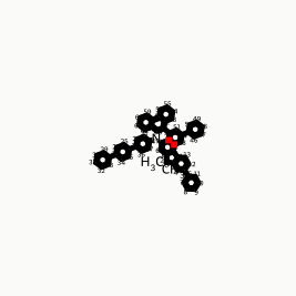 CC1(C)c2cc(-c3ccccc3)ccc2-c2ccc(N(c3ccc(-c4ccc(-c5ccccc5)cc4)cc3)c3c(-c4cccc(-c5ccccc5)c4)c4ccccc4c4ccccc34)cc21